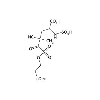 CCCCCCCCCCCCOS(=O)(=O)C(=O)C(C)(C#N)CC(NS(=O)(=O)O)C(=O)O